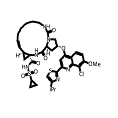 COc1ccc2c(O[C@@H]3C[C@H]4C(=O)N[C@@]5(C(=O)NS(=O)(=O)C6CC6)C[C@H]5/C=C\CCCCCNC(=O)N4C3)cc(-c3nc(C(C)C)cs3)nc2c1Cl